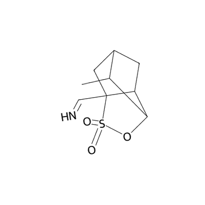 CC1C2CC3C1OS(=O)(=O)C3(C=N)C2